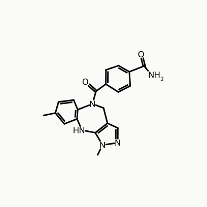 Cc1ccc2c(c1)Nc1c(cnn1C)CN2C(=O)c1ccc(C(N)=O)cc1